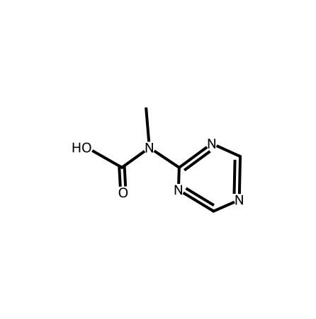 CN(C(=O)O)c1ncncn1